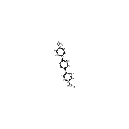 Cc1ccc(-c2ccc(-c3cnc(C)cn3)cn2)nc1